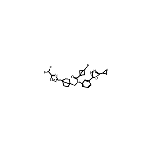 O=C(N(CC12CCC(c3noc(C(F)F)n3)(CC1)CC2)c1cccc(-c2nnc(C3CC3)o2)c1)C12CC(F)(C1)C2